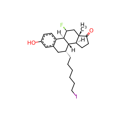 C[C@]12C[C@H](F)[C@@H]3c4ccc(O)cc4C[C@@H](CCCCCCI)[C@H]3[C@@H]1CCC2=O